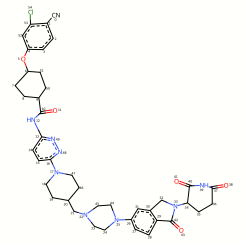 N#Cc1ccc(OC2CCC(C(=O)Nc3ccc(N4CCC(CN5CCN(c6ccc7c(c6)CN(C6CCC(=O)NC6=O)C7=O)CC5)CC4)nn3)CC2)cc1Cl